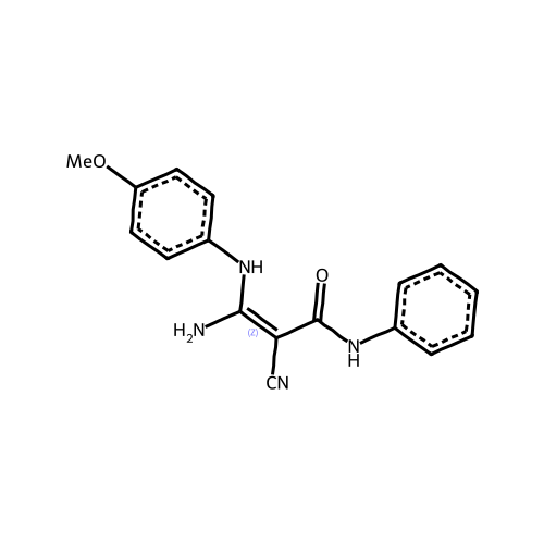 COc1ccc(N/C(N)=C(/C#N)C(=O)Nc2ccccc2)cc1